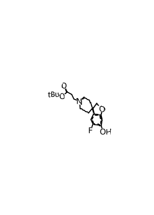 CC(C)(C)OC(=O)CCN1CCC2(CC1)COc1cc(O)c(F)cc12